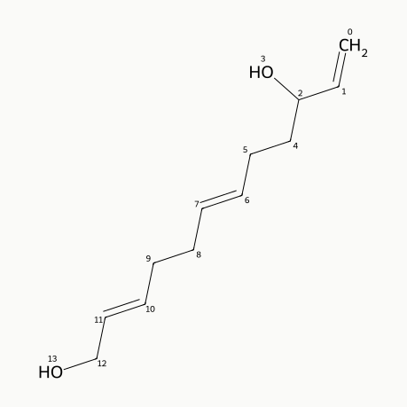 C=CC(O)CCC=CCCC=CCO